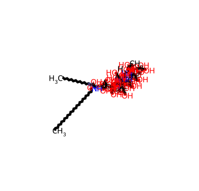 CCCCCCCCCCCCC/C=C/[C@@H](O)[C@H](CO[C@@H]1OC(CO)[C@@H](O[C@@H]2OC(CO)[C@H](O[C@@H]3OC(CO)[C@H](O)[C@H](O[C@@H]4OC(CO)[C@H](O)[C@H](O[C@@H]5OC(CO)[C@@H](O[C@@H]6OC(CO)[C@H](O)[C@H](O)C6O)[C@H](O[C@H]6OC(C)[C@@H](O)C(O)[C@@H]6O)C5NC(C)=O)C4O)C3NC(C)=O)[C@H](O[C@]3(C(=O)O)CC(O)[C@@H](NC(C)=O)C([C@H](O)[C@H](O)CO)O3)C2O)[C@H](O)C1O)NC(=O)CCCCCCCCCCCCCCCCCCCCCCCCC